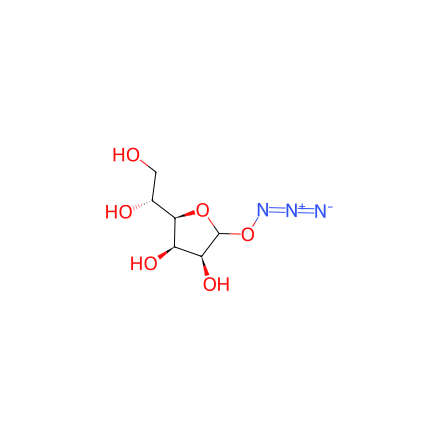 [N-]=[N+]=NOC1O[C@H]([C@H](O)CO)[C@H](O)[C@@H]1O